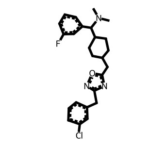 CN(C)C(c1cccc(F)c1)C1CCC(Cc2nc(Cc3cccc(Cl)c3)no2)CC1